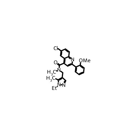 CCn1ncc(CN(C)C(=O)c2cc(-c3ccccc3OC)nc3ccc(Cl)cc23)c1C